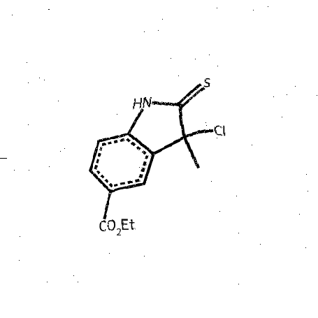 CCOC(=O)c1ccc2c(c1)C(C)(Cl)C(=S)N2